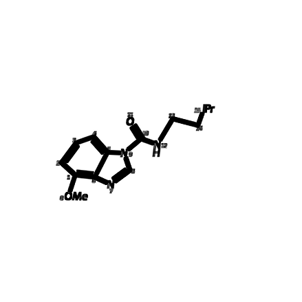 COc1cccc2c1ncn2C(=O)NCCC(C)C